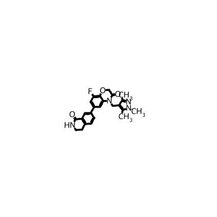 Cc1nn(C)c(C)c1CN1C(=O)COc2c(F)cc(-c3ccc4c(c3)C(=O)NCC4)cc21